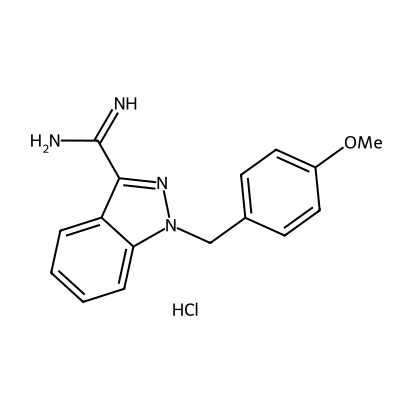 COc1ccc(Cn2nc(C(=N)N)c3ccccc32)cc1.Cl